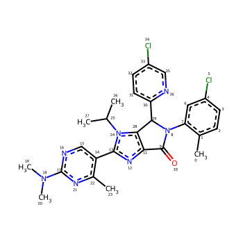 Cc1ccc(Cl)cc1N1C(=O)c2nc(-c3cnc(N(C)C)nc3C)n(C(C)C)c2C1c1ccc(Cl)cn1